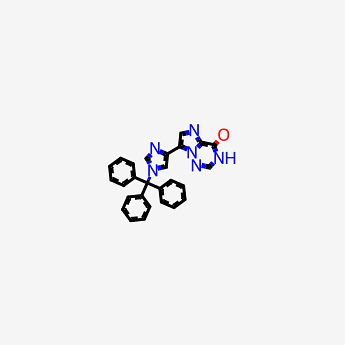 O=c1[nH]cnn2c(-c3cn(C(c4ccccc4)(c4ccccc4)c4ccccc4)cn3)cnc12